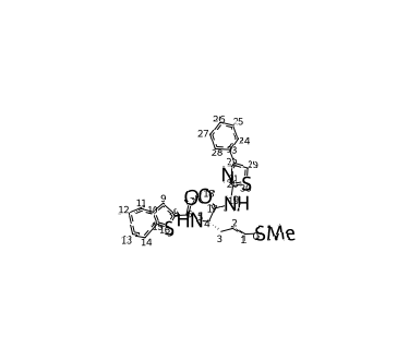 CSCCC[C@H](NC(=O)c1cc2ccccc2s1)C(=O)Nc1nc(-c2ccccc2)cs1